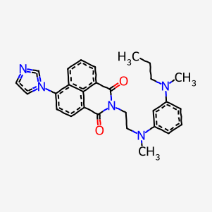 CCCN(C)c1cccc(N(C)CCN2C(=O)c3cccc4c(-n5ccnc5)ccc(c34)C2=O)c1